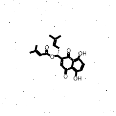 CC(C)=CC[C@@H](OC(=O)C=C(C)C)C1=CC(=O)c2c(O)ccc(O)c2C1=O